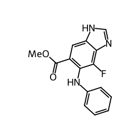 COC(=O)c1cc2[nH]cnc2c(F)c1Nc1ccccc1